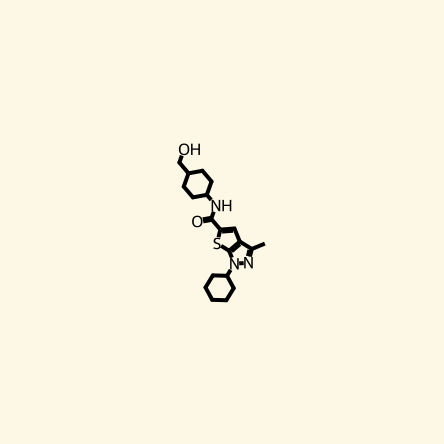 Cc1nn(C2CCCCC2)c2sc(C(=O)NC3CCC(CO)CC3)cc12